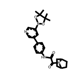 CC1(C)OB(c2cncc(-c3ccc(NC(=O)C(=O)N4C5CCC4CC5)cc3)c2)OC1(C)C